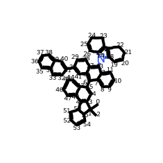 CC1(C)c2cc(-c3c4ccccc4c(-n4c5c(c6c4C=CCC6)CCC=C5)c4ccc(-c5ccc6ccccc6c5)cc34)c3ccccc3c2C2C=CC=CC21